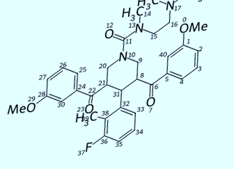 COc1cccc(C(=O)C2CN(C(=O)N(C)CCN(C)C)CC(C(=O)c3cccc(OC)c3)C2c2cccc(F)c2C)c1